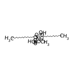 CCCCCCCCCCCCCCCCOC(=O)[C@@H](N)C(CCCCCCCCCCCCCCCC)CC(=O)O.Cc1ccc(S(=O)(=O)O)cc1